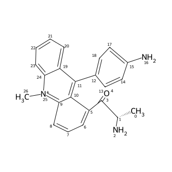 C[C@H](N)C(=O)c1cccc2c1c(-c1ccc(N)cc1)c1ccccc1[n+]2C